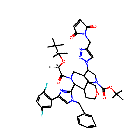 C[C@H](O[Si](C)(C)C(C)(C)C)C(=O)N(CC1CN(C(=O)OC(C)(C)C)CC1n1cc(CN2C(=O)C=CC2=O)nn1)C(c1nc(-c2cc(F)ccc2F)cn1Cc1ccccc1)C1CCOCC1